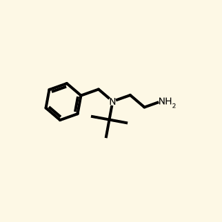 CC(C)(C)N(CCN)Cc1ccccc1